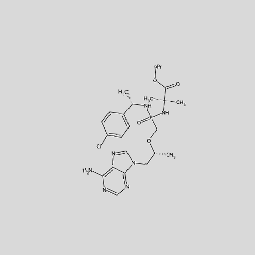 CCCOC(=O)C(C)(C)NP(=O)(CO[C@H](C)Cn1cnc2c(N)ncnc21)N[C@@H](C)c1ccc(Cl)cc1